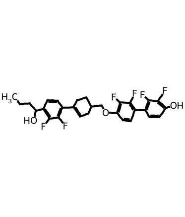 CCCC(O)c1ccc(C2=CCC(COc3ccc(-c4ccc(O)c(F)c4F)c(F)c3F)CC2)c(F)c1F